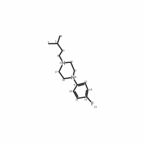 CC(C)CCN1CCN(c2ccc(F)cc2)CC1